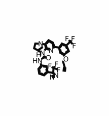 C#CCOc1cc(-c2ccc3c(n2)N(C(=O)Nc2cccc(C4(C(F)(F)F)N=N4)c2)[C@H]2CCN3C2)cc(C(F)(F)F)c1